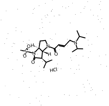 CC(C)[C@H]1C(=O)N(S(C)(=O)=O)[C@H]2CCN(C(=O)/C=C/CN(C(C)C)C(C)C)[C@H]12.Cl